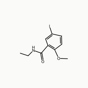 CCNC(=O)c1cc(I)ccc1OC